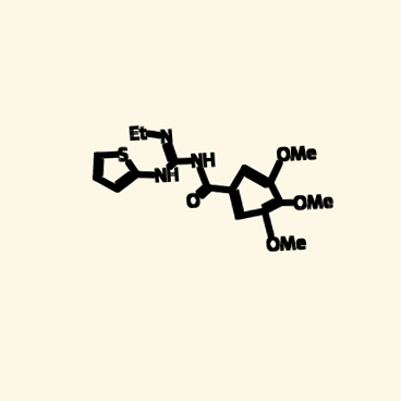 CCN=C(NC(=O)c1cc(OC)c(OC)c(OC)c1)Nc1cccs1